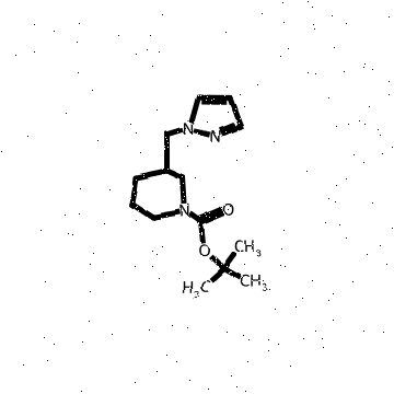 CC(C)(C)OC(=O)N1CCCC(Cn2cccn2)C1